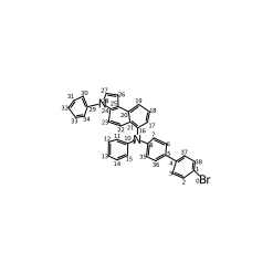 Brc1ccc(-c2ccc(N(c3ccccc3)c3cccc4c3ccc3c4ccn3-c3ccccc3)cc2)cc1